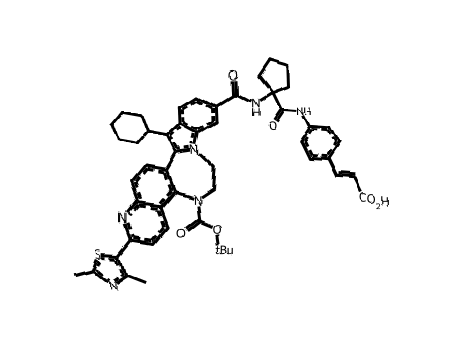 Cc1nc(C)c(-c2ccc3c4c(ccc3n2)-c2c(C3CCCCC3)c3ccc(C(=O)NC5(C(=O)Nc6ccc(/C=C/C(=O)O)cc6)CCCC5)cc3n2CCN4C(=O)OC(C)(C)C)s1